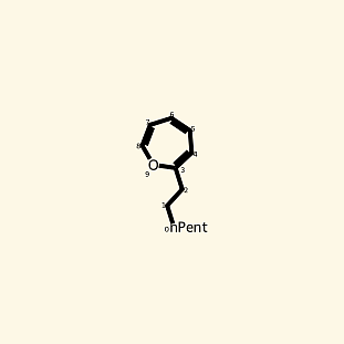 CCCCCCCC1=CC=CC=CO1